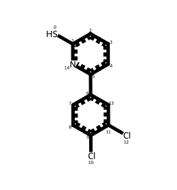 Sc1cccc(-c2ccc(Cl)c(Cl)c2)n1